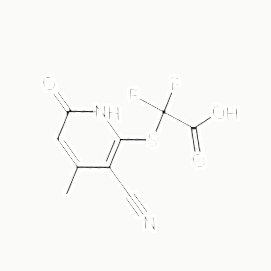 Cc1cc(=O)[nH]c(SC(F)(F)C(=O)O)c1C#N